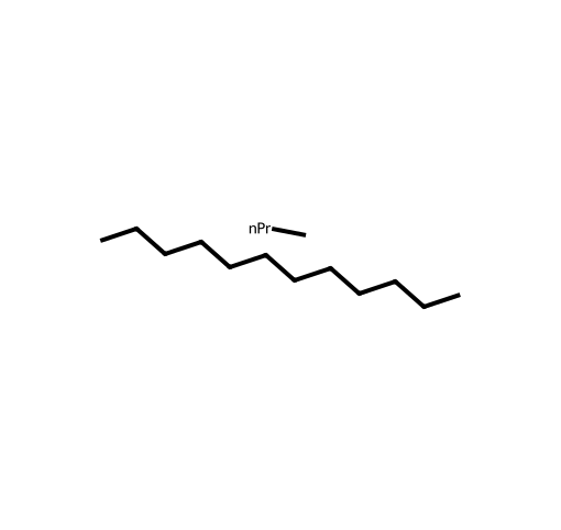 CCCC.CCCCCCCCCCCC